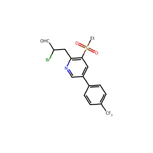 CCS(=O)(=O)c1cc(-c2ccc(C(F)(F)F)cc2)cnc1CC(Br)C=O